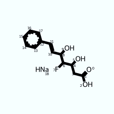 O=C(O)CC(O)C(F)C(O)C=Cc1ccccc1.[NaH]